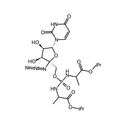 CC(C)OC(=O)C(C)NP(=O)(NC(C)C(=O)OC(C)C)OC[C@@]1(N=[N+]=[N-])O[C@@H](n2ccc(=O)[nH]c2=O)[C@H](O)[C@@H]1O